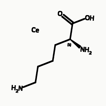 NCCCC[C@H](N)C(=O)O.[Ce]